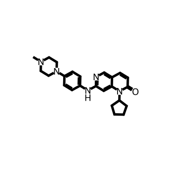 CN1CCN(c2ccc(Nc3cc4c(ccc(=O)n4C4CCCC4)cn3)cc2)CC1